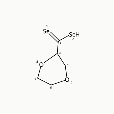 [Se]=C([SeH])C1COCCO1